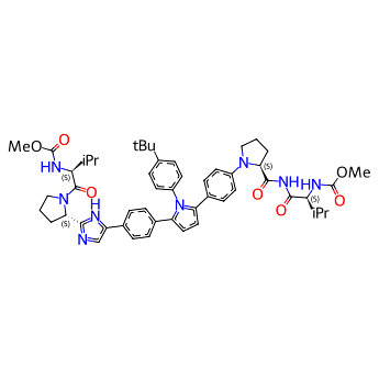 COC(=O)N[C@H](C(=O)NC(=O)[C@@H]1CCCN1c1ccc(-c2ccc(-c3ccc(-c4cnc([C@@H]5CCCN5C(=O)[C@@H](NC(=O)OC)C(C)C)[nH]4)cc3)n2-c2ccc(C(C)(C)C)cc2)cc1)C(C)C